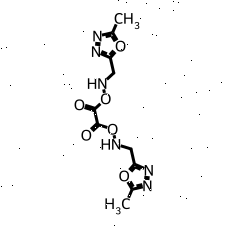 Cc1nnc(CNOC(=O)C(=O)ONCc2nnc(C)o2)o1